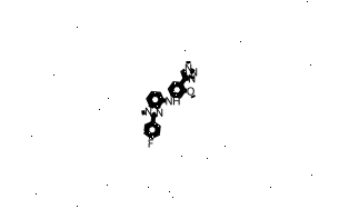 COc1cc(Nc2cccc3c2nc(-c2ccc(F)cc2)n3C)ccc1-c1cn(C)nn1